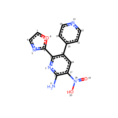 Nc1nc(-c2ncco2)c(-c2ccncc2)cc1[N+](=O)O